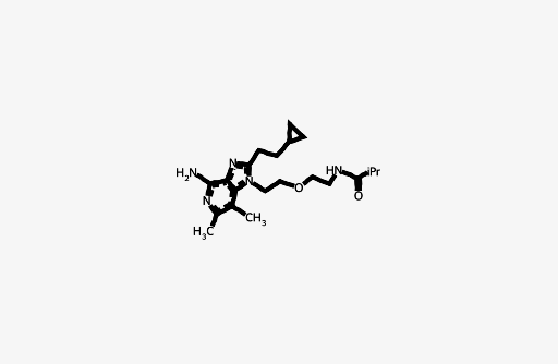 Cc1nc(N)c2nc(CCC3CC3)n(CCOCCNC(=O)C(C)C)c2c1C